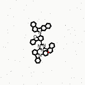 c1ccc(-n2c3ccccc3c3cccc(-c4nc(-c5cccc6ccccc56)nc(-c5ccc(-n6c7cc8ccccc8cc7c7c8ccccc8ccc76)c6oc7ccccc7c56)n4)c32)cc1